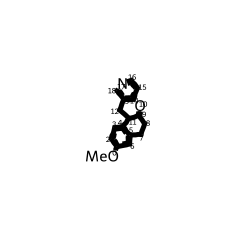 COc1ccc2c(c1)CCC(=O)C2Cc1cccnc1